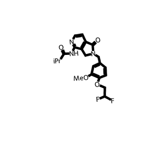 COc1cc(CN2Cc3c(ccnc3NC(=O)C(C)C)C2=O)ccc1OCC(F)F